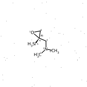 CN(C)C[C@@]1([SiH3])CO1